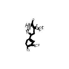 CCSC1CC(c2ccc(Cl)c(Cl)c2)=NNC1=O